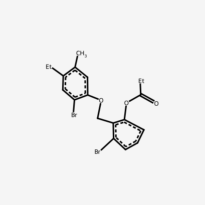 CCC(=O)Oc1cccc(Br)c1COc1cc(C)c(CC)cc1Br